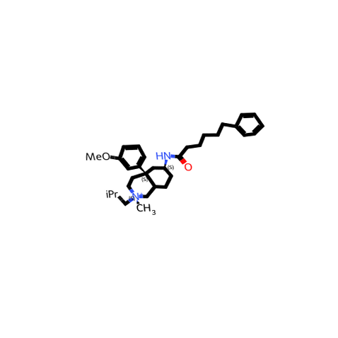 COc1cccc([C@]23CC[N@@+](C)(CC(C)C)CC2CC[C@H](NC(=O)CCCCCc2ccccc2)C3)c1